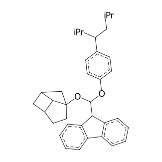 CC(C)CC(c1ccc(OC(OC23CCC4CC(C2)C43)C2c3ccccc3-c3ccccc32)cc1)C(C)C